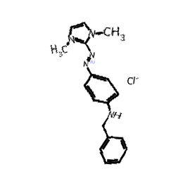 Cn1cc[n+](C)c1/N=N/c1ccc(NCc2ccccc2)cc1.[Cl-]